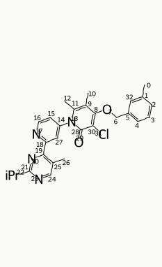 Cc1cccc(COc2c(C)c(C)n(-c3ccnc(-c4nc(C(C)C)ncc4C)c3)c(=O)c2Cl)c1